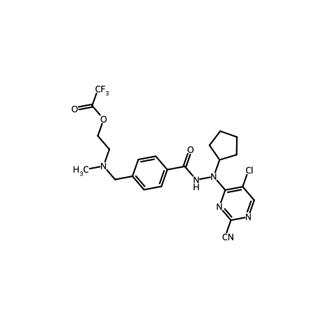 CN(CCOC(=O)C(F)(F)F)Cc1ccc(C(=O)NN(c2nc(C#N)ncc2Cl)C2CCCC2)cc1